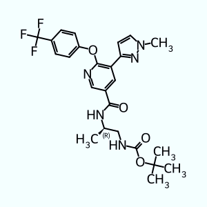 C[C@H](CNC(=O)OC(C)(C)C)NC(=O)c1cnc(Oc2ccc(C(F)(F)F)cc2)c(-c2ccn(C)n2)c1